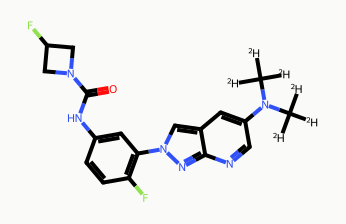 [2H]C([2H])([2H])N(c1cnc2nn(-c3cc(NC(=O)N4CC(F)C4)ccc3F)cc2c1)C([2H])([2H])[2H]